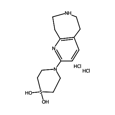 Cl.Cl.OS1(O)CCN(c2ccc3c(n2)CCNCC3)CC1